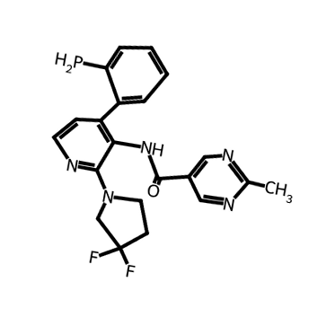 Cc1ncc(C(=O)Nc2c(-c3ccccc3P)ccnc2N2CCC(F)(F)C2)cn1